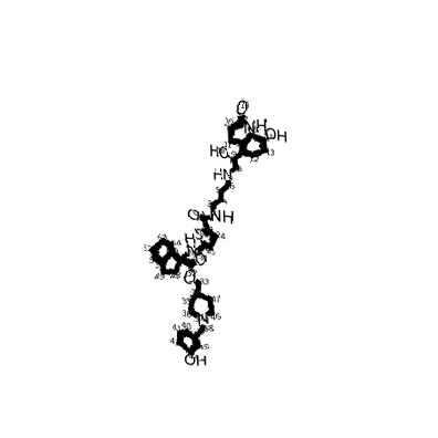 O=C(NCCCCNC[C@H](O)c1ccc(O)c2[nH]c(=O)ccc12)c1ccc(CNC2(C(=O)OCC3CCN(Cc4cccc(O)c4)CC3)CCc3ccccc32)s1